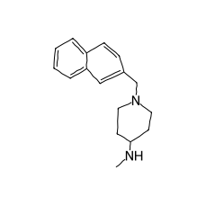 CNC1CCN(Cc2ccc3ccccc3c2)CC1